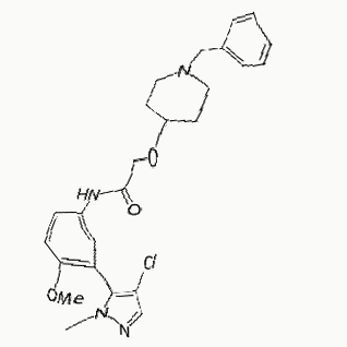 COc1ccc(NC(=O)COC2CCN(Cc3ccccc3)CC2)cc1-c1c(Cl)cnn1C